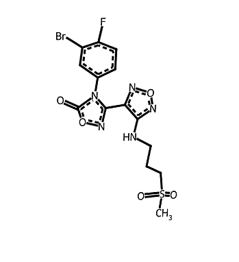 CS(=O)(=O)CCCNc1nonc1-c1noc(=O)n1-c1ccc(F)c(Br)c1